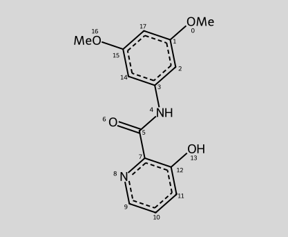 COc1cc(NC(=O)c2ncccc2O)cc(OC)c1